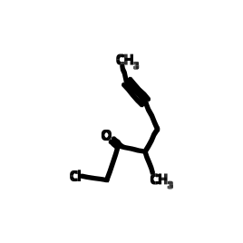 CC#CCC(C)C(=O)CCl